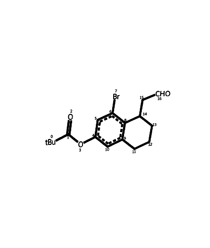 CC(C)(C)C(=O)Oc1cc(Br)c2c(c1)CCCC2CC=O